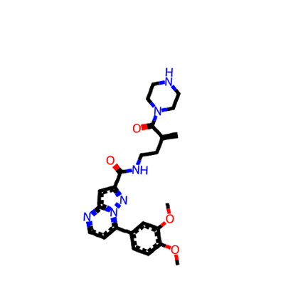 C=C(CCNC(=O)c1cc2nccc(-c3ccc(OC)c(OC)c3)n2n1)C(=O)N1CCNCC1